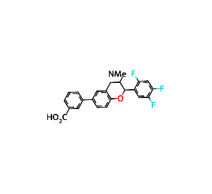 CNC1Cc2cc(-c3cccc(C(=O)O)c3)ccc2OC1c1cc(F)c(F)cc1F